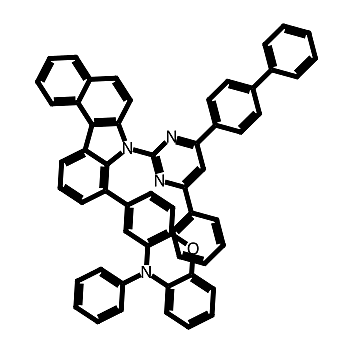 c1ccc(-c2ccc(-c3cc(-c4ccccc4)nc(-n4c5ccc6ccccc6c5c5cccc(-c6ccc7c(c6)N(c6ccccc6)c6ccccc6O7)c54)n3)cc2)cc1